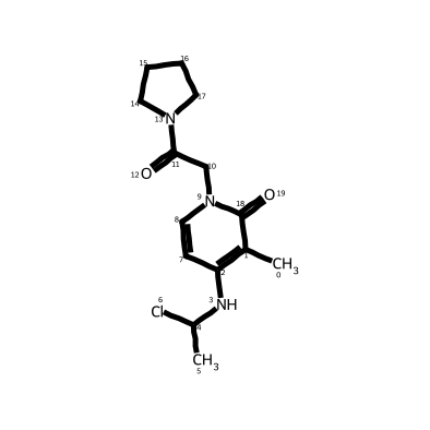 Cc1c(NC(C)Cl)ccn(CC(=O)N2CCCC2)c1=O